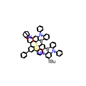 CC(C)(C)c1cc2c3c(c1)N(c1ccccc1)c1ccccc1B3c1cc3c(cc1N2)[SH](c1c(-c2ccccc2)cc(-c2ccccc2)cc1-c1ccccc1)c1cc(N2C4CC5CC(C4)C2C5)cc2c1B3c1ccccc1N2c1ccccc1